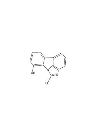 CCc1nc2cccc3c4cccc(O)c4n1c23